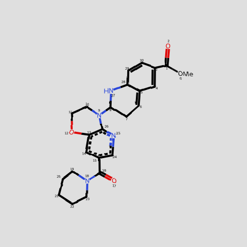 COC(=O)C1=CC2=CCC(N3CCOc4cc(C(=O)N5CCCCC5)cnc43)NC2C=C1